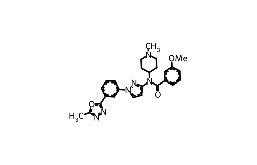 COc1cccc(C(=O)N(c2ccn(-c3cccc(-c4nnc(C)o4)c3)n2)C2CCN(C)CC2)c1